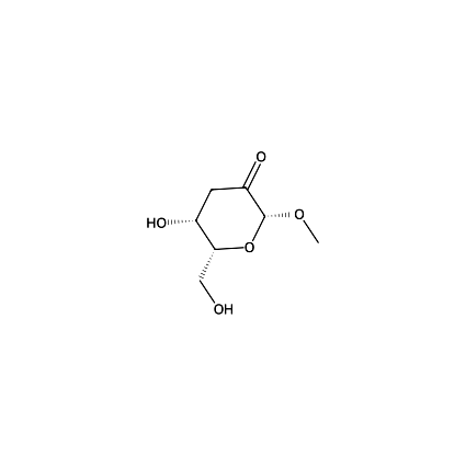 CO[C@@H]1O[C@H](CO)[C@H](O)CC1=O